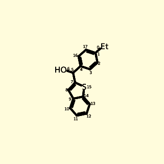 CCc1ccc(C(O)c2cc3ccccc3s2)cc1